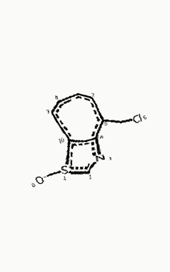 [O-][s+]1cnc2c(Cl)cccc21